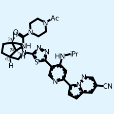 CC(=O)N1CCN(C(=O)N[C@@H]2[C@@H]3CC[C@H]2CN(c2nnc(-c4cnc(-c5ccc6cc(C#N)cnn56)cc4NC(C)C)s2)C3)CC1